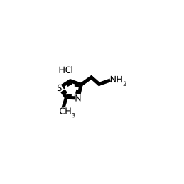 Cc1nc(CCN)cs1.Cl